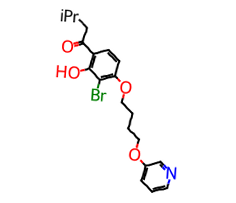 CC(C)CC(=O)c1ccc(OCCCCOc2cccnc2)c(Br)c1O